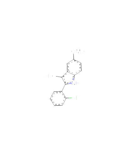 COc1ccc2[nH]c(-c3ccccc3Cl)c(C=O)c2c1